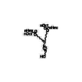 CCCCCCCCC(CCCCCC)C(=O)OCCCCCCN(CCCCCCOC(=O)C(CCCCCC)CCCCCCCC)CCN1CCN(CCCO)CC1